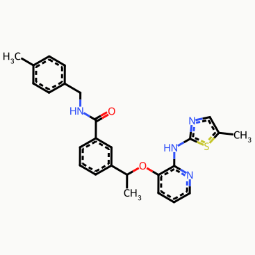 Cc1ccc(CNC(=O)c2cccc(C(C)Oc3cccnc3Nc3ncc(C)s3)c2)cc1